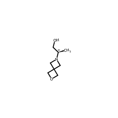 C[C@H](CO)N1CC2(COC2)C1